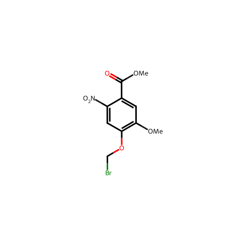 COC(=O)c1cc(OC)c(OCBr)cc1[N+](=O)[O-]